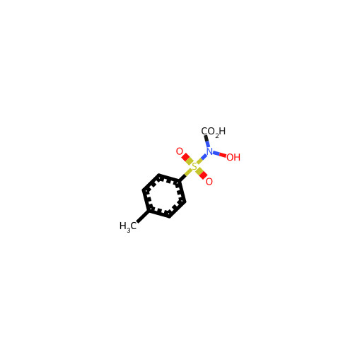 Cc1ccc(S(=O)(=O)N(O)C(=O)O)cc1